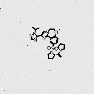 C=C([C@@H]1CCCN1S(=O)(=O)c1ccc2c(c1)-c1nc(-c3ncnn3C(C)C)cn1CCO2)N1CCCC1